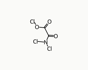 O=C(OCl)C(=O)N(Cl)Cl